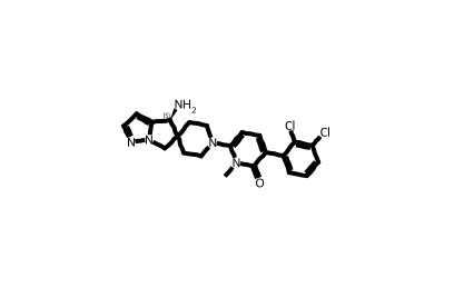 Cn1c(N2CCC3(CC2)Cn2nccc2[C@H]3N)ccc(-c2cccc(Cl)c2Cl)c1=O